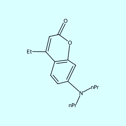 CCCN(CCC)c1ccc2c(CC)cc(=O)oc2c1